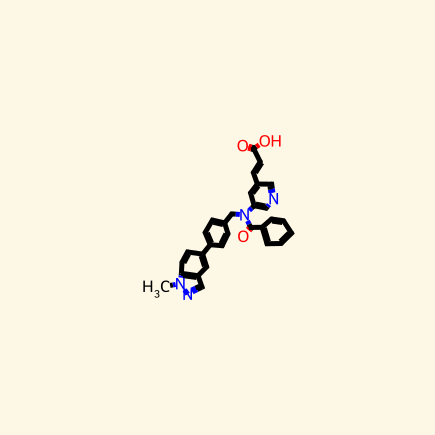 Cn1ncc2cc(-c3ccc(CN(C(=O)c4ccccc4)c4cncc(C=CC(=O)O)c4)cc3)ccc21